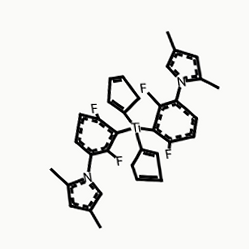 Cc1cc(C)n(-c2ccc(F)[c]([Ti]([C]3=CC=CC3)([C]3=CC=CC3)[c]3c(F)ccc(-n4cc(C)cc4C)c3F)c2F)c1